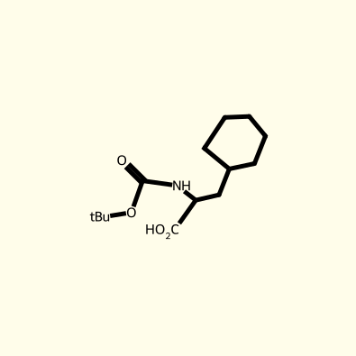 CC(C)(C)OC(=O)NC(CC1CCCCC1)C(=O)O